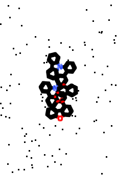 c1ccc(N(c2ccc(-c3ccccc3-n3c4ccccc4c4ccccc43)cc2)c2ccc(-c3cccc4oc5ccccc5c34)cc2)c(-c2cccc3oc4c5ccccc5ccc4c23)c1